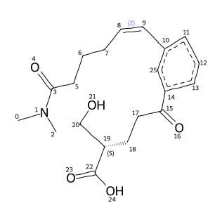 CN(C)C(=O)CCC/C=C\c1cccc(C(=O)CC[C@@H](CO)C(=O)O)c1